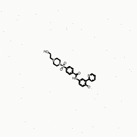 O=C(Nc1ccc(Cl)c(-c2ccccn2)c1)c1ccc(S(=O)(=O)N2CCN(CCO)CC2)cc1